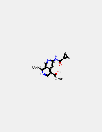 CNc1ncc(C(=O)OC)c2cc(NC(=O)C3CC3)ncc12